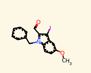 COc1ccc2c(c1)c(I)c(C=O)n2Cc1ccccc1